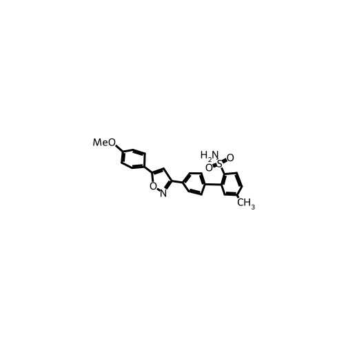 COc1ccc(-c2cc(-c3ccc(-c4cc(C)ccc4S(N)(=O)=O)cc3)no2)cc1